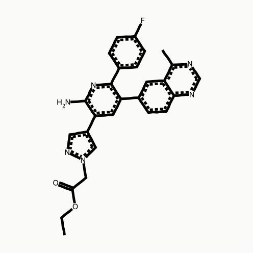 CCOC(=O)Cn1cc(-c2cc(-c3ccc4ncnc(C)c4c3)c(-c3ccc(F)cc3)nc2N)cn1